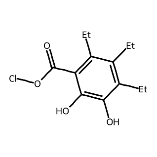 CCc1c(O)c(O)c(C(=O)OCl)c(CC)c1CC